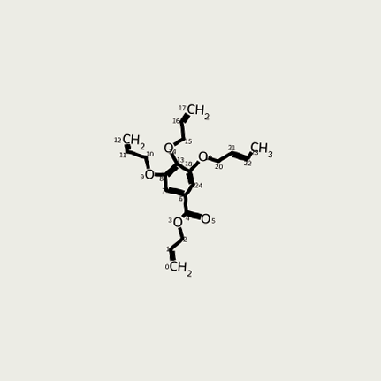 C=CCOC(=O)c1cc(OCC=C)c(OCC=C)c(OC/C=C/C)c1